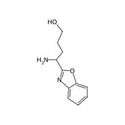 NC(CCCO)c1nc2ccccc2o1